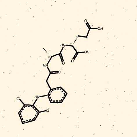 C[C@@H](NC(=O)Cc1ccccc1Nc1c(Cl)cccc1Cl)C(=O)N[C@H](CCC(=O)O)C(=O)O